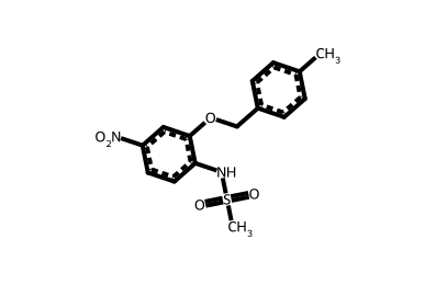 Cc1ccc(COc2cc([N+](=O)[O-])ccc2NS(C)(=O)=O)cc1